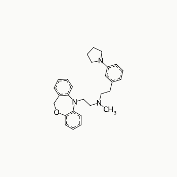 CN(CCc1cccc(N2CCCC2)c1)CCN1c2ccccc2COc2ccccc21